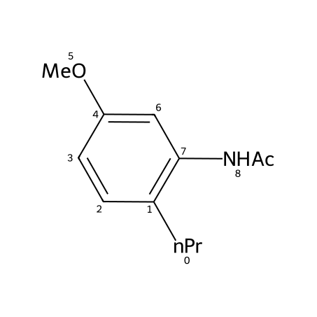 CCCc1ccc(OC)cc1NC(C)=O